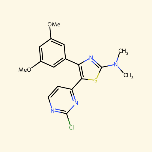 COc1cc(OC)cc(-c2nc(N(C)C)sc2-c2ccnc(Cl)n2)c1